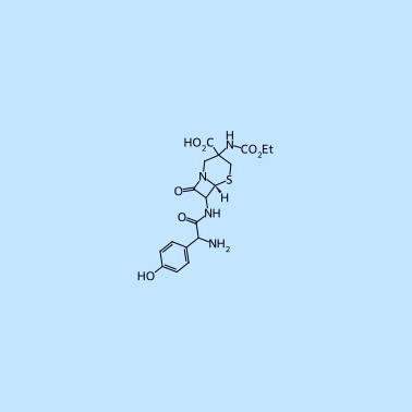 CCOC(=O)NC1(C(=O)O)CS[C@@H]2C(NC(=O)C(N)c3ccc(O)cc3)C(=O)N2C1